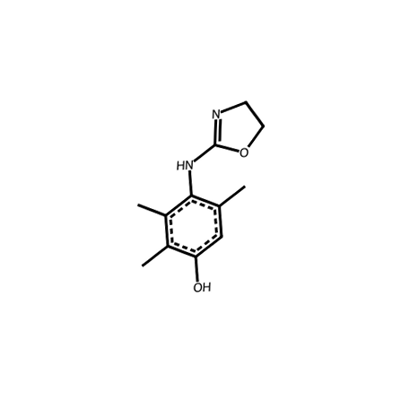 Cc1cc(O)c(C)c(C)c1NC1=NCCO1